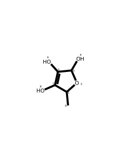 CC1OC(O)C(O)=C1O